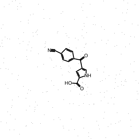 N#Cc1ccc(C(=O)c2c[nH]c(C(=O)O)c2)cc1